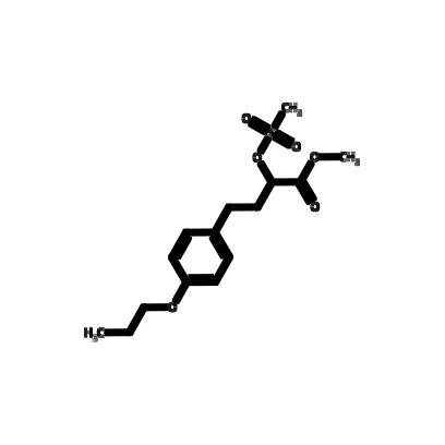 CCCOc1ccc(CCC(OS(C)(=O)=O)C(=O)OC)cc1